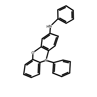 c1ccc(Nc2ccc3c(c2)Oc2ccccc2N3c2ccccc2)cc1